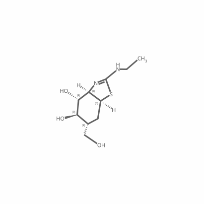 CCNC1=N[C@@H]2[C@@H](O)[C@H](O)[C@@H](CO)C[C@@H]2S1